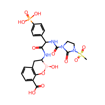 CS(=O)(=O)N1CCN(C(=O)NC(C(=O)NC2Cc3cccc(C(=O)O)c3OB2O)c2ccc(P(=O)(O)O)cc2)C1=O